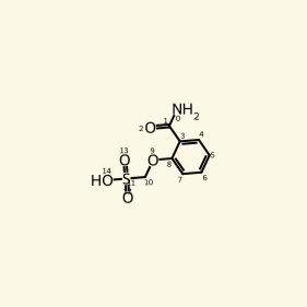 NC(=O)c1ccccc1OCS(=O)(=O)O